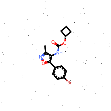 Cc1noc(-c2ccc(Br)cc2)c1NC(=O)OC1CCC1